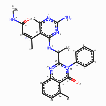 CCC(Nc1nc(N)nc(C)c1/C(C)=C\C(=O)NC(C)(C)C)c1nc2cccc(C)c2c(=O)n1-c1ccccc1